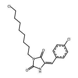 O=C1NC(=Cc2ccc(Cl)cc2)C(=O)N1CCCCCCCCCl